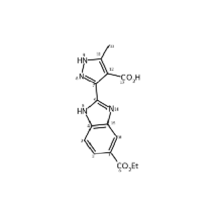 CCOC(=O)c1ccc2[nH]c(-c3n[nH]c(C)c3C(=O)O)nc2c1